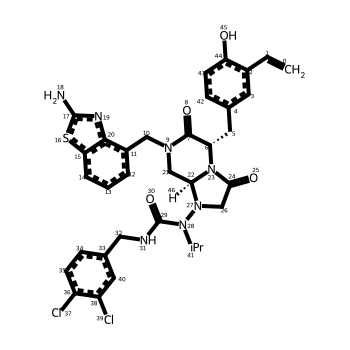 C=Cc1cc(C[C@H]2C(=O)N(Cc3cccc4sc(N)nc34)C[C@H]3N2C(=O)CN3N(C(=O)NCc2ccc(Cl)c(Cl)c2)C(C)C)ccc1O